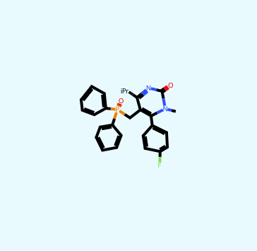 CC(C)c1nc(=O)n(C)c(-c2ccc(F)cc2)c1CP(=O)(c1ccccc1)c1ccccc1